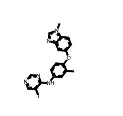 Cc1cc(Nc2ncncc2I)ccc1Oc1ccc2c(c1)ncn2C